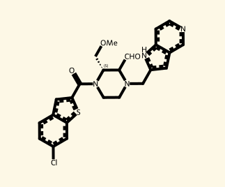 COC[C@@H]1C(C=O)N(Cc2cc3cnccc3[nH]2)CCN1C(=O)c1cc2ccc(Cl)cc2s1